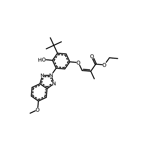 CCOC(=O)C(C)=COc1cc(-n2nc3ccc(OC)cc3n2)c(O)c(C(C)(C)C)c1